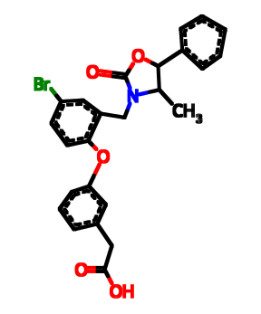 CC1C(c2ccccc2)OC(=O)N1Cc1cc(Br)ccc1Oc1cccc(CC(=O)O)c1